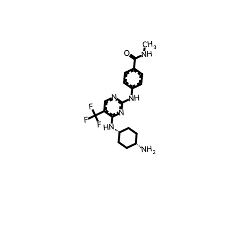 CNC(=O)c1ccc(Nc2ncc(C(F)(F)F)c(N[C@H]3CC[C@@H](N)CC3)n2)cc1